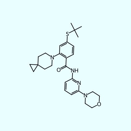 CC(C)(C)Sc1ccc(C(=O)Nc2cccc(N3CCOCC3)n2)c(N2CCC3(CC2)CC3)c1